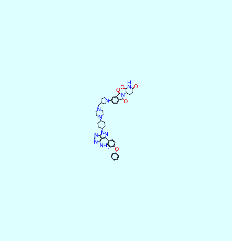 Nc1ncnc2c1c(-c1ccc(Oc3ccccc3)cc1)nn2C1CCC(N2CCN(CC3CCN(c4ccc5c(c4)C(=O)N(C4CCC(=O)NC4=O)C5=O)C3)CC2)CC1